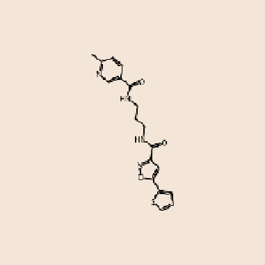 Cc1ccc(C(=O)NCCCNC(=O)c2cc(-c3cccs3)on2)cn1